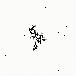 CSc1cc(/N=C(\Cl)c2c(C(F)(F)F)c(C(C)(F)F)nn2CC2CC(F)(F)C2)ccn1